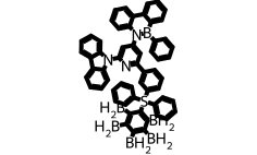 Bc1c(B)c(B)c(S(c2ccccc2)(c2ccccc2)c2cccc(-c3cc(N4B(c5ccccc5)c5ccccc5-c5ccccc54)cc(-n4c5ccccc5c5ccccc54)n3)c2)c(B)c1B